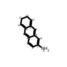 Nc1ccc2cc3c(cc2c1)=CCCC=3